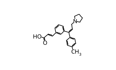 Cc1ccc(C(=CCN2CCCC2)c2cccc(C=CC(=O)O)c2)cc1